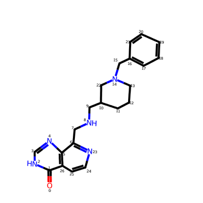 O=c1[nH]cnc2c(CNCC3CCCN(Cc4ccccc4)C3)nccc12